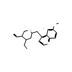 C=CC1CNC([C@H](O)c2ccnc3ccc(OC)cc23)CC1CC